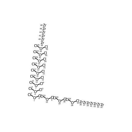 ClOCl.ClOCl.ClOCl.ClOCl.ClOCl.ClOCl.ClOCl.ClOCl.ClOCl.ClOCl.ClOCl.ClOCl.[Zr].[Zr].[Zr].[Zr].[Zr].[Zr].[Zr].[Zr].[Zr].[Zr].[Zr].[Zr].[Zr]